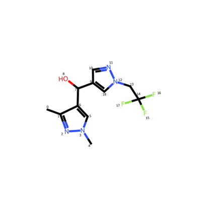 Cc1nn(C)cc1C(O)c1cnn(CC(F)(F)F)c1